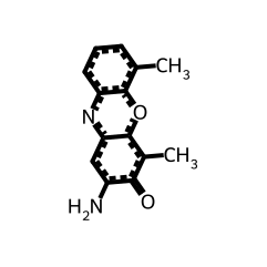 Cc1c2oc3c(C)cccc3nc-2cc(N)c1=O